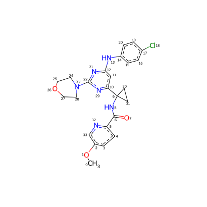 COc1ccc(C(=O)NC2(c3cc(Nc4ccc(Cl)cc4)nc(N4CCOCC4)n3)CC2)nc1